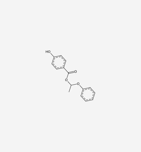 CC(OC(=O)c1ccc(O)cc1)Oc1ccccc1